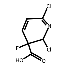 O=C(O)C1(F)C=CC(Cl)=NC1Cl